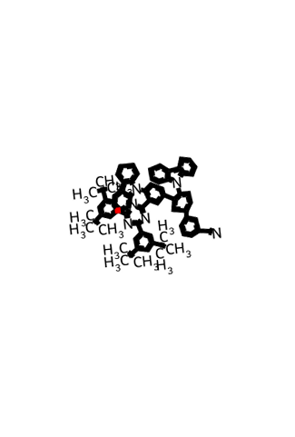 CC(C)(C)c1cc(-c2nc(-c3cc(C(C)(C)C)cc(C(C)(C)C)c3)nc(-c3cc(-c4cc(-c5cccc(C#N)c5)ccc4-n4c5ccccc5c5ccccc54)ccc3-n3c4ccccc4c4ccccc43)n2)cc(C(C)(C)C)c1